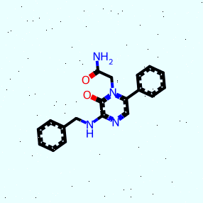 NC(=O)Cn1c(-c2ccccc2)cnc(NCc2ccccc2)c1=O